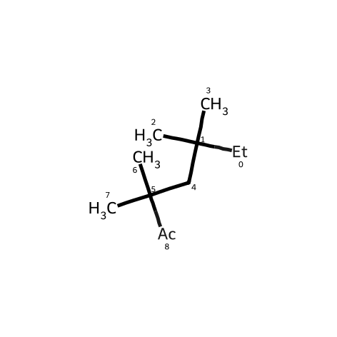 CCC(C)(C)CC(C)(C)C(C)=O